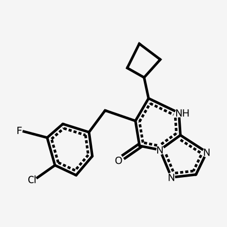 O=c1c(Cc2ccc(Cl)c(F)c2)c(C2CCC2)[nH]c2ncnn12